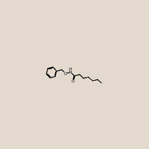 [CH2]CCCCCC(=O)NOCc1ccccc1